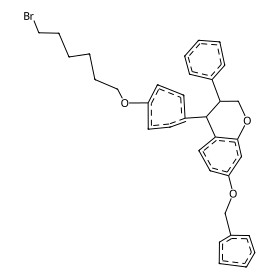 BrCCCCCCOc1ccc(C2c3ccc(OCc4ccccc4)cc3OCC2c2ccccc2)cc1